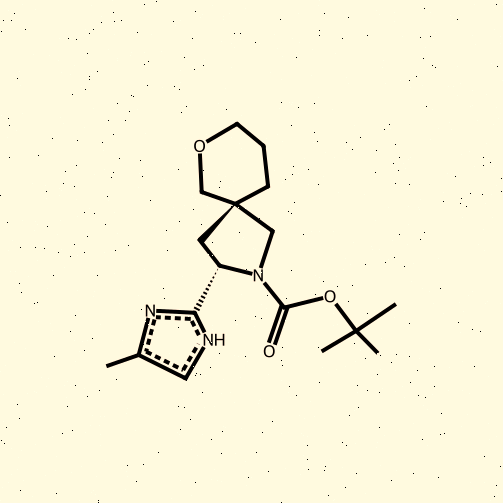 Cc1c[nH]c([C@@H]2C[C@@]3(CCCOC3)CN2C(=O)OC(C)(C)C)n1